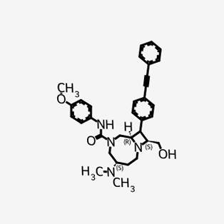 COc1ccc(NC(=O)N2C[C@@H](N(C)C)CCN3[C@H](CO)C(c4ccc(C#Cc5ccccc5)cc4)[C@@H]3C2)cc1